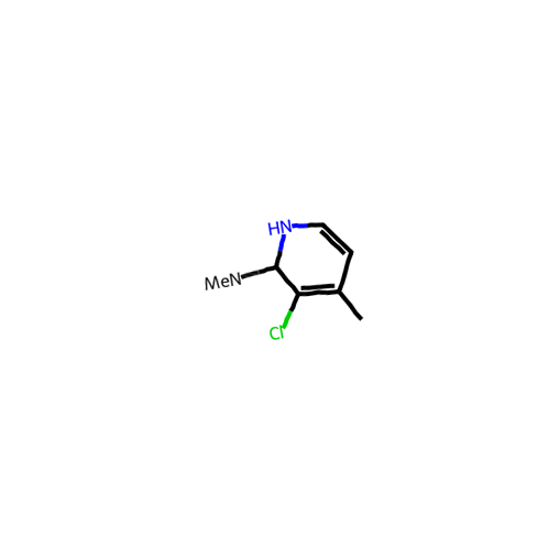 CNC1NC=CC(C)=C1Cl